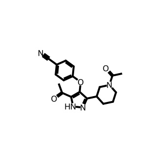 CC(=O)c1[nH]nc(C2CCCN(C(C)=O)C2)c1Oc1ccc(C#N)cc1